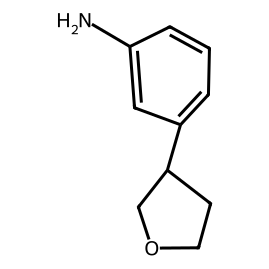 Nc1cccc(C2CCOC2)c1